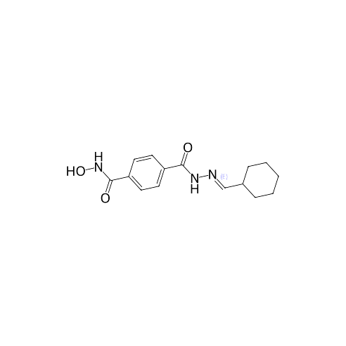 O=C(NO)c1ccc(C(=O)N/N=C/C2CCCCC2)cc1